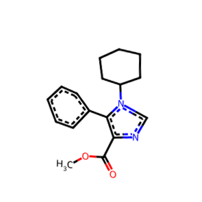 COC(=O)c1ncn(C2CCCCC2)c1-c1ccccc1